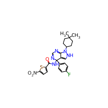 CC1(C)CCC(N2NC=C3C2=NC=NC3(NC(=O)c2ccc([N+](=O)[O-])s2)c2ccc(F)cc2)CC1